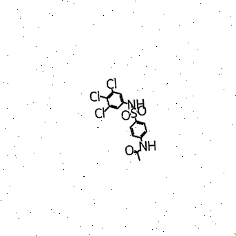 CC(=O)Nc1ccc(S(=O)(=O)Nc2cc(Cl)c(Cl)c(Cl)c2)cc1